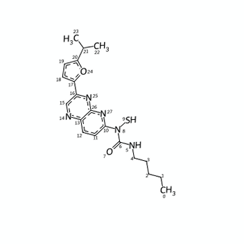 CCCCCNC(=O)N(S)c1ccc2ncc(-c3ccc(C(C)C)o3)nc2n1